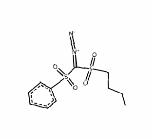 CCCCS(=O)(=O)C(=[N+]=[N-])S(=O)(=O)c1ccccc1